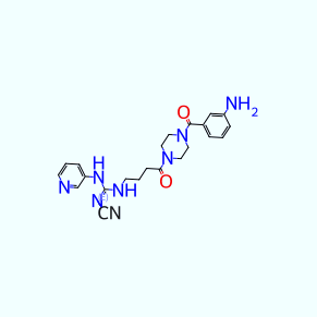 N#C/N=C(\NCCCC(=O)N1CCN(C(=O)c2cccc(N)c2)CC1)Nc1cccnc1